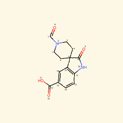 O=CN1CCC2(CC1)C(=O)Nc1ccc(C(=O)O)cc12